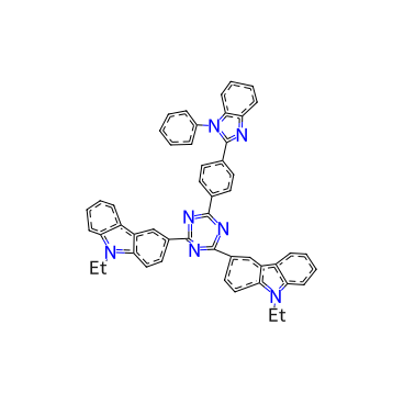 CCn1c2ccccc2c2cc(-c3nc(-c4ccc(-c5nc6ccccc6n5-c5ccccc5)cc4)nc(-c4ccc5c(c4)c4ccccc4n5CC)n3)ccc21